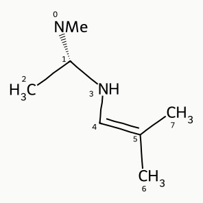 CN[C@@H](C)NC=C(C)C